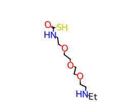 CCNCCOCCOCCOCCNC(=O)S